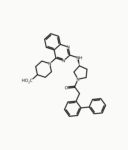 O=C(O)C1CCN(c2nc(N[C@H]3CCN(C(=O)Cc4ccccc4-c4ccccc4)C3)nc3ccccc23)CC1